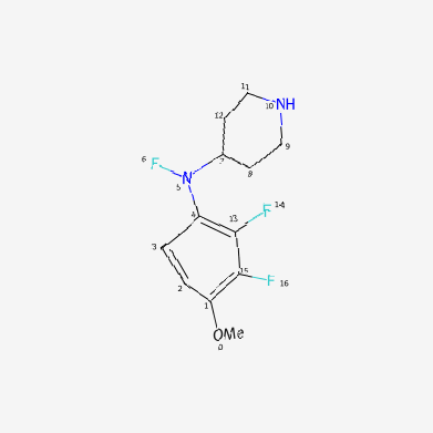 COc1ccc(N(F)C2CCNCC2)c(F)c1F